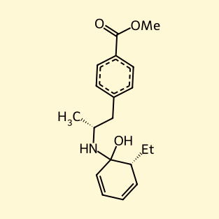 CC[C@@H]1C=CC=CC1(O)N[C@H](C)Cc1ccc(C(=O)OC)cc1